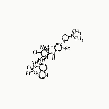 CCc1cc(Nc2ncc(Cl)c(Nc3ccc4nccnc4c3N(C)S(=O)(=O)CC)n2)c(OC)cc1N1CCC(N(C)C)C1